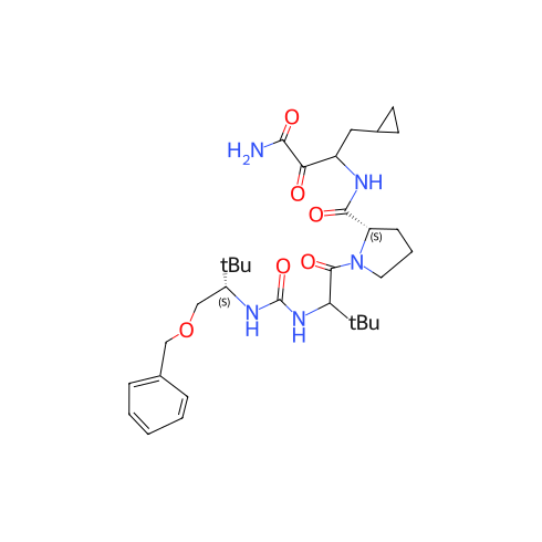 CC(C)(C)C(NC(=O)N[C@H](COCc1ccccc1)C(C)(C)C)C(=O)N1CCC[C@H]1C(=O)NC(CC1CC1)C(=O)C(N)=O